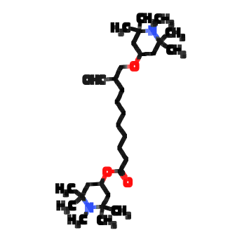 CN1C(C)(C)CC(OCC(C=O)CCCCCCCC(=O)OC2CC(C)(C)N(C)C(C)(C)C2)CC1(C)C